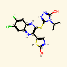 CC(C)n1c(O)nnc1Sc1nc2cc(Cl)c(Cl)cc2nc1-c1cnc(O)s1